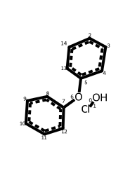 OCl.c1ccc(Oc2ccccc2)cc1